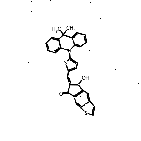 CC1(C)c2ccccc2N(c2ccc(/C=C3/C(=O)c4cc5sccc5cc4C3O)s2)c2ccccc21